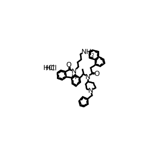 CC(c1cccc(-c2ccccc2C(=O)NCCCCN)c1)N(C(=O)Cc1cccc2ccccc12)C1CCN(Cc2ccccc2)CC1.Cl.Cl